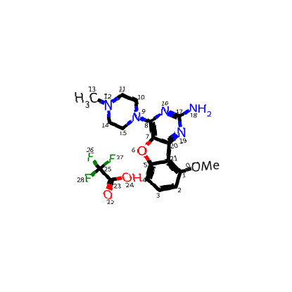 COc1cccc2oc3c(N4CCN(C)CC4)nc(N)nc3c12.O=C(O)C(F)(F)F